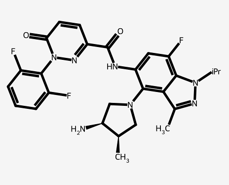 Cc1nn(C(C)C)c2c(F)cc(NC(=O)c3ccc(=O)n(-c4c(F)cccc4F)n3)c(N3C[C@@H](C)[C@@H](N)C3)c12